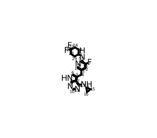 Fc1cc(Cc2c[nH]c3ncnc(NC4CC4)c23)cnc1NC1CCC(F)(F)CC1